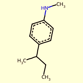 CCC(C)c1ccc(NC)cc1